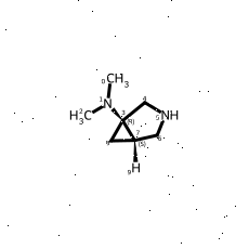 CN(C)[C@@]12CNC[C@@H]1C2